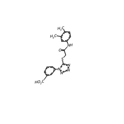 Cc1ccc(NC(=O)CSc2nnnn2-c2cccc(C(=O)O)c2)cc1C